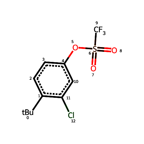 CC(C)(C)c1ccc(OS(=O)(=O)C(F)(F)F)cc1Cl